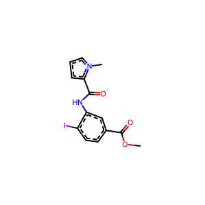 COC(=O)c1ccc(I)c(NC(=O)c2cccn2C)c1